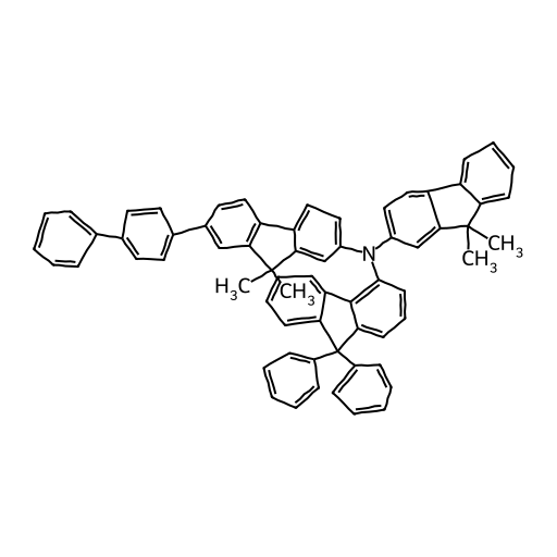 CC1(C)c2ccccc2-c2ccc(N(c3ccc4c(c3)C(C)(C)c3cc(-c5ccc(-c6ccccc6)cc5)ccc3-4)c3cccc4c3-c3ccccc3C4(c3ccccc3)c3ccccc3)cc21